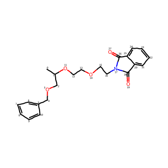 CC(COCc1ccccc1)OCCOCCN1C(=O)c2ccccc2C1=O